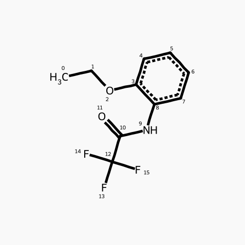 CCOc1ccccc1NC(=O)C(F)(F)F